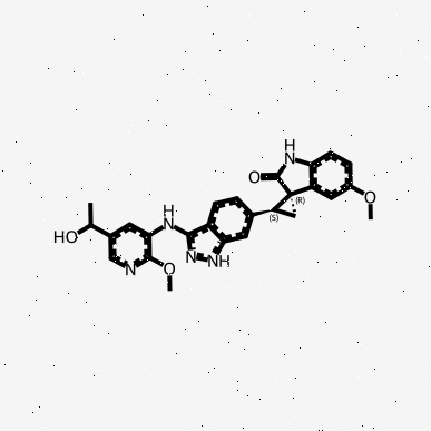 COc1ccc2c(c1)[C@]1(C[C@H]1c1ccc3c(Nc4cc(C(C)O)cnc4OC)n[nH]c3c1)C(=O)N2